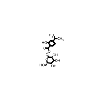 CC(C)c1ccc(C(=O)OOC2O[C@H](CO)[C@@H](O)[C@H](O)[C@H]2O)c(O)c1